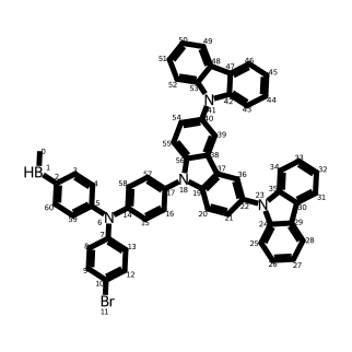 CBc1ccc(N(c2ccc(Br)cc2)c2ccc(-n3c4ccc(-n5c6ccccc6c6ccccc65)cc4c4cc(-n5c6ccccc6c6ccccc65)ccc43)cc2)cc1